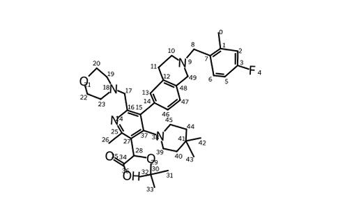 Cc1cc(F)ccc1CN1CCc2cc(-c3c(CN4CCOCC4)nc(C)c(C(OC(C)(C)C)C(=O)O)c3N3CCC(C)(C)CC3)ccc2C1